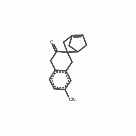 CC(C)(C)c1ccc2c(c1)CC1(CC3=CCC1C3)C(=O)C2